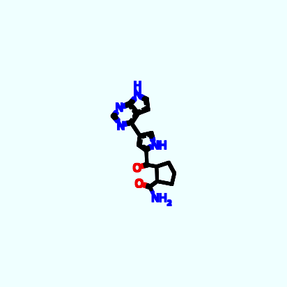 NC(=O)C1CCCC1C(=O)c1cc(-c2ncnc3[nH]ccc23)c[nH]1